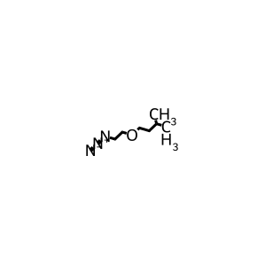 CC(C)CCOCCN=[N+]=[N-]